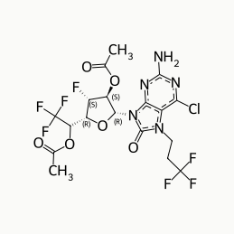 CC(=O)OC([C@H]1O[C@@H](n2c(=O)n(CCC(F)(F)F)c3c(Cl)nc(N)nc32)[C@H](OC(C)=O)[C@H]1F)C(F)(F)F